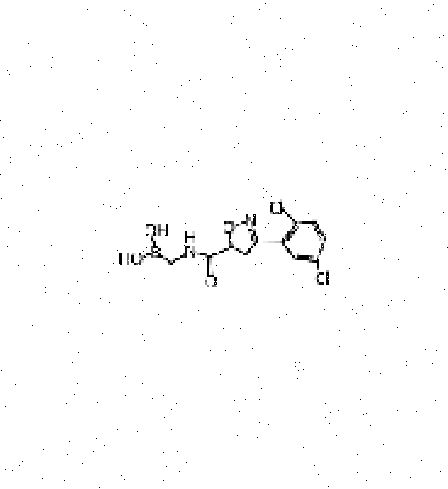 O=C(NCB(O)O)C1CC(c2cc(Cl)ccc2Cl)=NO1